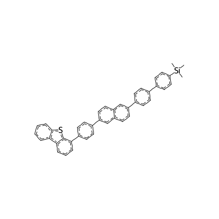 C[Si](C)(C)c1ccc(-c2ccc(-c3ccc4cc(-c5ccc(-c6cccc7c6sc6ccccc67)cc5)ccc4c3)cc2)cc1